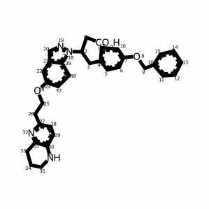 O=C(O)CC(Cc1ccc(OCc2ccccc2)cc1)n1ncc2cc(OCCc3ccc4c(n3)CCCN4)ccc21